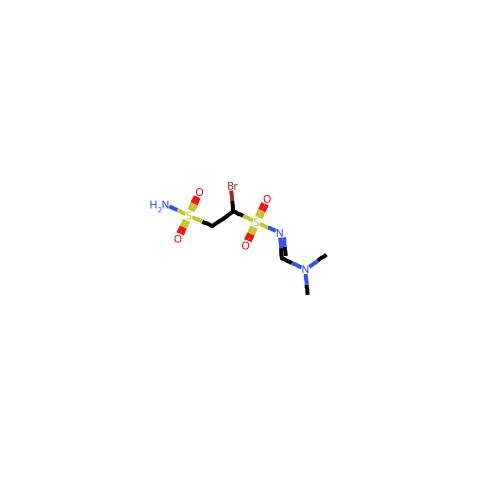 CN(C)C=NS(=O)(=O)C(Br)CS(N)(=O)=O